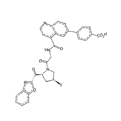 O=C(O)c1ccc(-c2ccc3nccc(C(=O)NCC(=O)N4C[C@@H](F)C[C@H]4C(=O)c4nc5ccccc5o4)c3c2)cc1